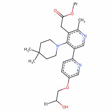 CCC(O)COc1ccc(-c2cnc(C)c(CC(=O)OC(C)C)c2N2CCC(C)(C)CC2)nc1